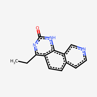 CCc1nc(=O)[nH]c2c1ccc1ccncc12